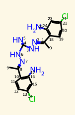 C/C(=N\NC(=N)N/N=C(\C)c1ccc(Cl)cc1N)c1ccc(Cl)cc1N